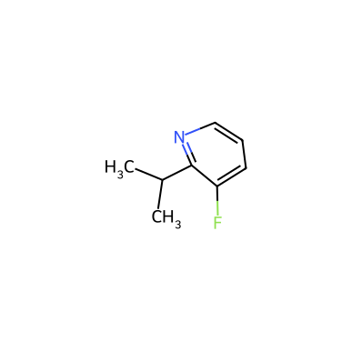 CC(C)c1ncccc1F